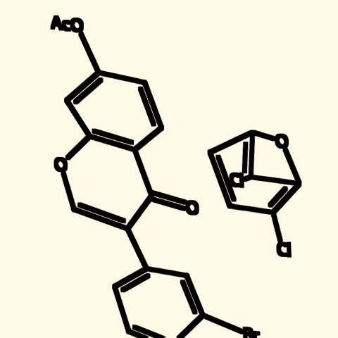 CC(=O)Oc1ccc2c(=O)c(-c3cccc(Br)c3)coc2c1.Clc1ccc2c(Cl)c1O2